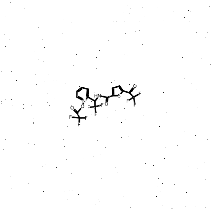 O=C(NC(c1cccc[n+]1OC(=O)C(F)(F)F)C(F)(F)F)c1ccc(C(=O)C(F)(F)F)s1